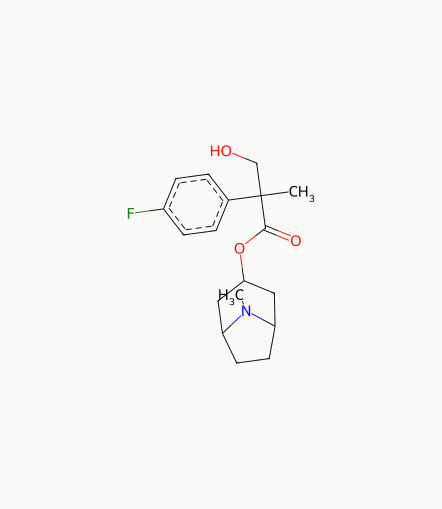 CN1C2CCC1CC(OC(=O)C(C)(CO)c1ccc(F)cc1)C2